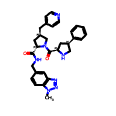 Cn1nnc2cc(CNC(=O)[C@@H]3C[C@@H](Cc4ccncc4)CN3C(=O)[C@H]3C[C@@H](c4ccccc4)CN3)ccc21